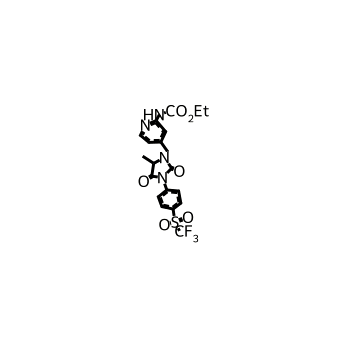 CCOC(=O)Nc1cc(CN2C(=O)N(c3ccc(S(=O)(=O)C(F)(F)F)cc3)C(=O)C2C)ccn1